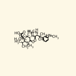 CNc1cccc(C(C)(C)[C@@H](NC)C(=O)N[C@H](C(=O)N(C)[C@H](/C=C(\C)C(=O)O)C(C)C)C(C)(C)C)c1